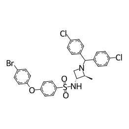 C[C@H]1[C@H](NS(=O)(=O)c2ccc(Oc3ccc(Br)cc3)cc2)CN1C(c1ccc(Cl)cc1)c1ccc(Cl)cc1